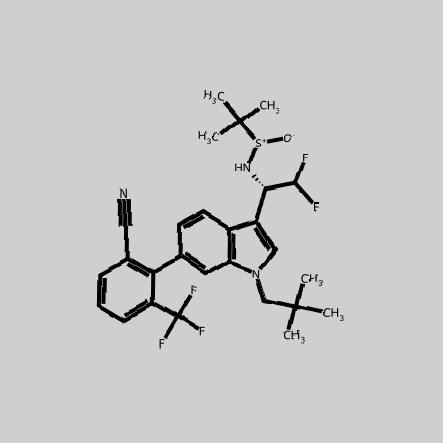 CC(C)(C)Cn1cc([C@H](N[S+]([O-])C(C)(C)C)C(F)F)c2ccc(-c3c(C#N)cccc3C(F)(F)F)cc21